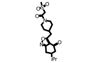 CC(C)C1CC(=O)c2c(noc2CC2CCN(C(=O)CS(C)(=O)=O)CC2)C1